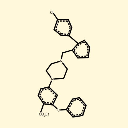 CCOC(=O)c1ccc(N2CCN(Cc3ccccc3-c3ccc(Cl)cc3)CC2)cc1Oc1ccccc1